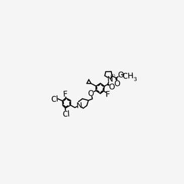 COC(=O)[C@@H]1CCCN1C(=O)c1cc(C2CC2)c(OCC2CCN(Cc3cc(F)c(Cl)cc3Cl)CC2)cc1F